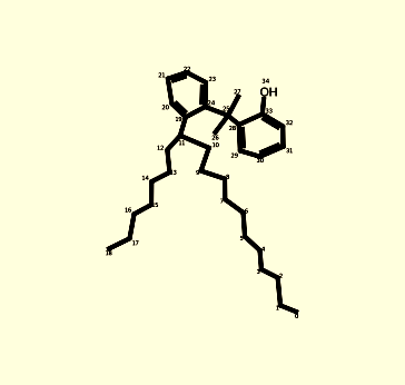 CCCCCCCCCCCC(CCCCCCC)c1ccccc1C(C)(C)c1ccccc1O